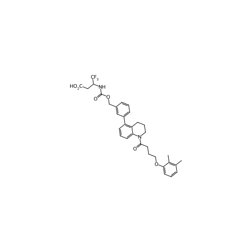 Cc1cccc(OCCCC(=O)N2CCCc3c(-c4cccc(COC(=O)NC(CC(=O)O)C(F)(F)F)c4)cccc32)c1C